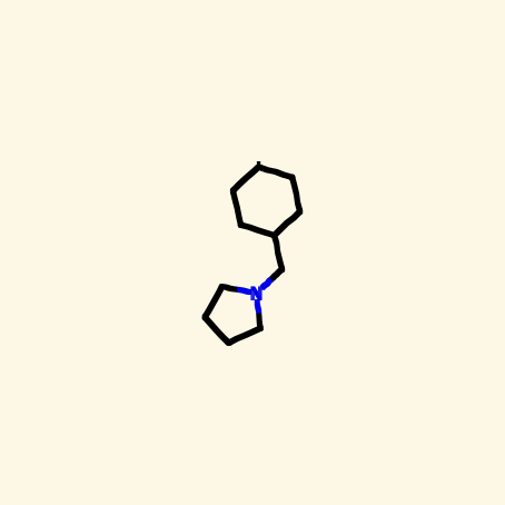 [CH]1CCC(CN2CCCC2)CC1